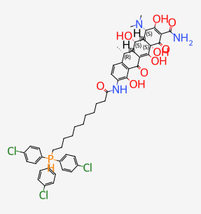 C[C@H]1c2ccc(NC(=O)CCCCCCCCCC[PH](c3ccc(Cl)cc3)(c3ccc(Cl)cc3)c3ccc(Cl)cc3)c(O)c2C(=O)C2=C(O)[C@]3(O)C(=O)C(C(N)=O)=C(O)[C@@H](N(C)C)[C@@H]3[C@@H](O)[C@@H]21